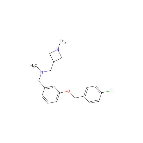 CN(Cc1cccc(OCc2ccc(Cl)cc2)c1)CC1CN(C)C1